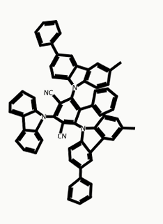 Cc1ccc2c(c1)c1cc(-c3ccccc3)ccc1n2-c1c(C#N)c(-n2c3ccccc3c3ccccc32)c(C#N)c(-n2c3ccc(C)cc3c3cc(-c4ccccc4)ccc32)c1-c1ccccc1